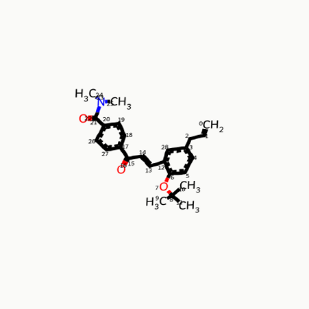 C=CCc1ccc(OC(C)(C)C)c(C=CC(=O)c2ccc(C(=O)N(C)C)cc2)c1